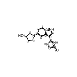 O=c1[nH]c(-c2c[nH]c3ccc(N4CCC(O)C4)cc23)no1